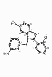 Nc1cccc(Cn2c(-c3ccccc3Cl)cc3ccc(O)cc32)n1